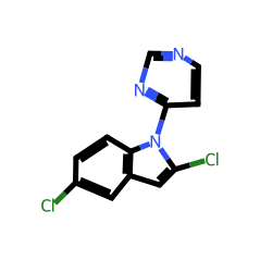 Clc1ccc2c(c1)cc(Cl)n2-c1ccncn1